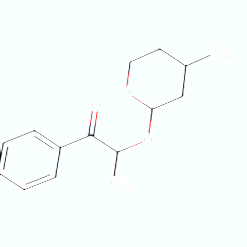 CC(OC1CC(C(F)(F)F)CCO1)C(=O)c1ccccc1